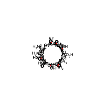 CCCC[C@H]1C(=O)N2C[C@H](O)C[C@@H]2C(=O)N[C@@H](CC(=O)O)C(=O)N[C@@H](C(C)C)C(=O)N(C)[C@H](Cc2ccccc2)C(=O)N[C@@H](CCN)C(=O)N2C[C@H](O)C[C@@H]2C(=O)N[C@@H](Cc2c[nH]c3ccccc23)C(=O)N[C@@H](Cc2ccc(O)cc2)C(=O)N[C@@H](CCCN)C(=O)N[C@H](C(=O)NCC(N)=O)CSCC(=O)N[C@@H](Cc2ccc(F)c(F)c2)C(=O)N(C)[C@@H](Cc2ccccc2)C(=O)N1C